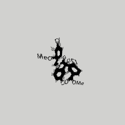 COC(=O)c1ccc(Cl)c(C2(Cl)C(=O)N(Cc3ccc(Cl)cc3OC)c3ccc(Cl)cc32)c1